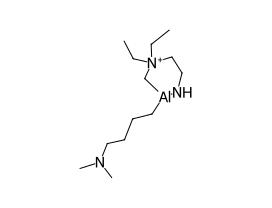 CC[N+]1(CC)CC[NH][Al]([CH2]CCCN(C)C)[CH2]1